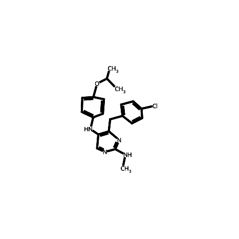 CNc1ncc(Nc2ccc(OC(C)C)cc2)c(Cc2ccc(Cl)cc2)n1